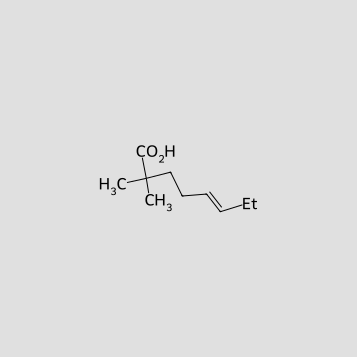 CCC=CCCC(C)(C)C(=O)O